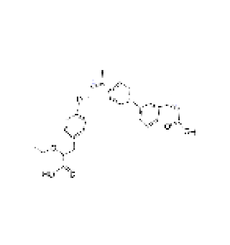 CCOC(Cc1ccc(OC/C=C(/C)c2ccc(-c3cccc(/C(C)=C\C(=O)O)c3)cc2)cc1)C(=O)O